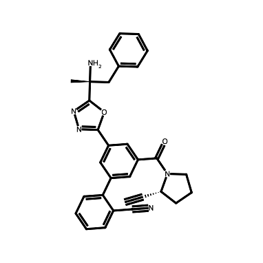 C#C[C@H]1CCCN1C(=O)c1cc(-c2nnc([C@](C)(N)Cc3ccccc3)o2)cc(-c2ccccc2C#N)c1